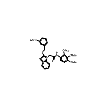 COc1cccc(CSc2nc3ccccc3n2CC(=O)Nc2ccc(OC)c(OC)c2OC)c1